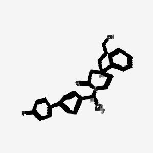 C[C@@H](c1ccc(-c2ccc(F)cc2)cc1)N1CC[C@@](CCCO)(c2ccccc2)CC1=O